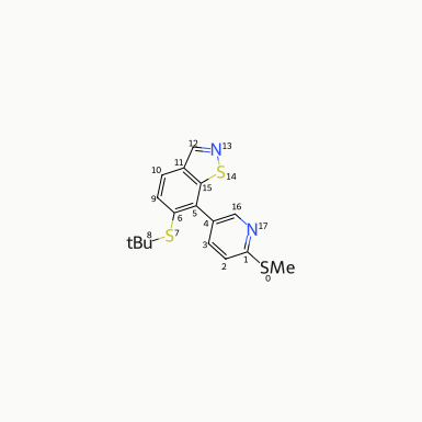 CSc1ccc(-c2c(SC(C)(C)C)ccc3cnsc23)cn1